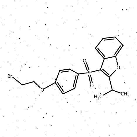 CC(C)c1oc2ccccc2c1S(=O)(=O)c1ccc(OCCBr)cc1